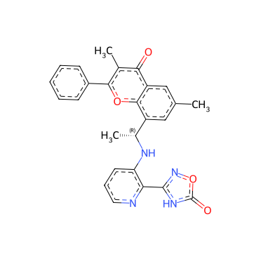 Cc1cc([C@@H](C)Nc2cccnc2-c2noc(=O)[nH]2)c2oc(-c3ccccc3)c(C)c(=O)c2c1